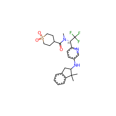 CN(C(=O)C1CCS(=O)(=O)CC1)[C@@H](c1ccc(NC2Cc3ccccc3C2(C)C)cn1)C(F)(F)F